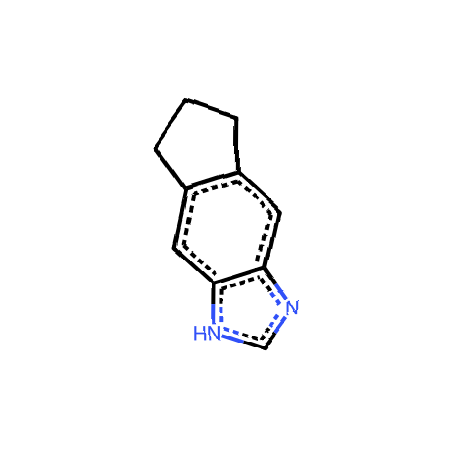 c1nc2cc3c(cc2[nH]1)CCC3